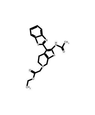 CCOC(=O)CN1CCc2c(sc(NC(C)=O)c2-c2nc3ccccc3s2)C1